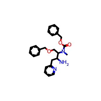 CN(C(=O)OCc1ccccc1)C(COCc1ccccc1)C(N)Cc1ccccn1